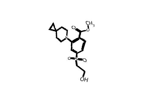 COC(=O)c1ccc(S(=O)(=O)CCO)cc1N1CCC2(CC1)CC2